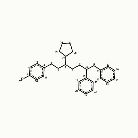 Fc1ccc(CCC(CCC(Cc2ccccc2)c2ccccc2)C2CCCC2)cc1